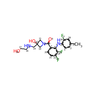 Cc1ccc(Nc2c(C(=O)N3CC(O)(CNCCO)C3)ccc(F)c2F)c(F)c1